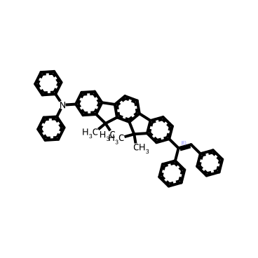 CC1(C)c2cc(/C(=C/c3ccccc3)c3ccccc3)ccc2-c2ccc3c(c21)C(C)(C)c1cc(N(c2ccccc2)c2ccccc2)ccc1-3